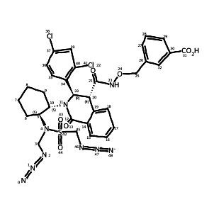 [N-]=[N+]=NCN([C@H]1CCCC[C@@H]1N1C(=O)c2ccccc2[C@@H](C(=O)NOCc2cccc(C(=O)O)c2)[C@@H]1c1ccc(Cl)cc1Cl)S(=O)(=O)CN=[N+]=[N-]